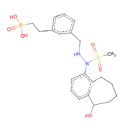 CS(=O)(=O)N(NCc1cccc(CCP(=O)(O)O)c1)c1cccc2c1CCCCC2O